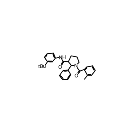 Cc1ccccc1C(=O)N1CCCC(C(=O)Nc2cccc(C(C)(C)C)c2)C1c1ccccc1